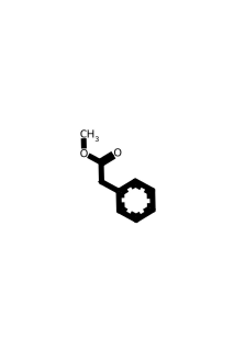 COC(=O)[CH]c1ccccc1